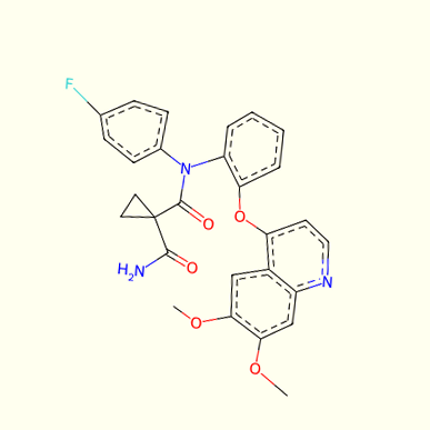 COc1cc2nccc(Oc3ccccc3N(C(=O)C3(C(N)=O)CC3)c3ccc(F)cc3)c2cc1OC